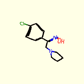 ON=C(CN1CCCC1)c1ccc(Cl)cc1